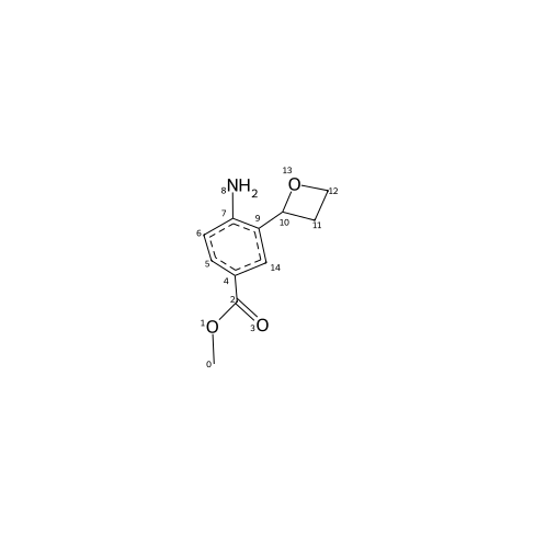 COC(=O)c1ccc(N)c(C2CCO2)c1